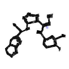 O=C(Nc1nonc1/C(=N\O)Nc1ccc(F)c(Br)c1)c1cc2ccccc2s1